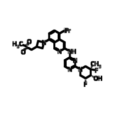 CC(C)c1ccc(N2CC(CS(C)(=O)=O)C2)c2cnc(Nc3ccnc(N4C[C@@H](F)[C@@H](O)[C@](C)(F)C4)n3)cc12